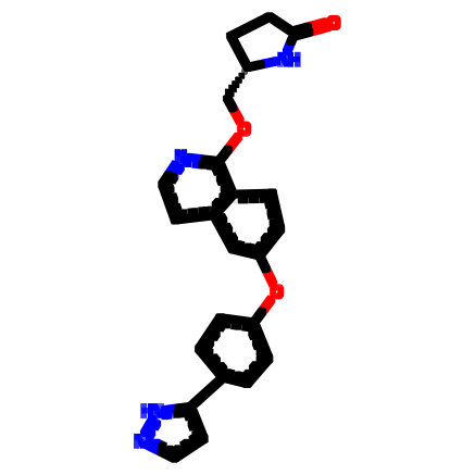 O=C1CC[C@@H](COc2nccc3cc(Oc4ccc(-c5ccn[nH]5)cc4)ccc23)N1